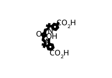 CN1C(=CC2=C(O)C(=CC3=[N+](C)c4ccc(C(=O)O)cc4C3(C)C)C2=O)C(C)(C)c2cc(C(=O)O)ccc21